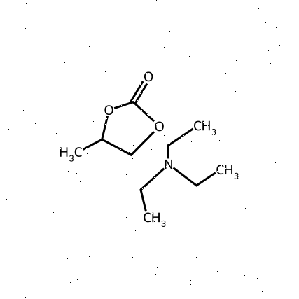 CC1COC(=O)O1.CCN(CC)CC